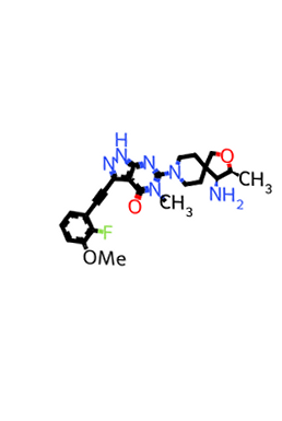 COc1cccc(C#Cc2n[nH]c3nc(N4CCC5(CC4)CO[C@@H](C)[C@H]5N)n(C)c(=O)c23)c1F